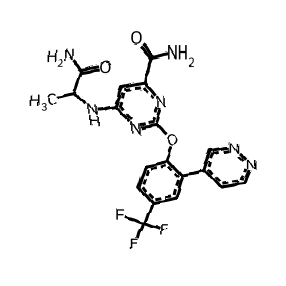 CC(Nc1cc(C(N)=O)nc(Oc2ccc(C(F)(F)F)cc2-c2ccnnc2)n1)C(N)=O